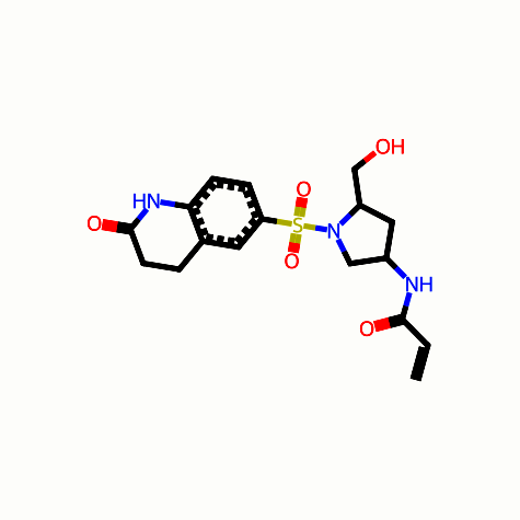 C=CC(=O)NC1CC(CO)N(S(=O)(=O)c2ccc3c(c2)CCC(=O)N3)C1